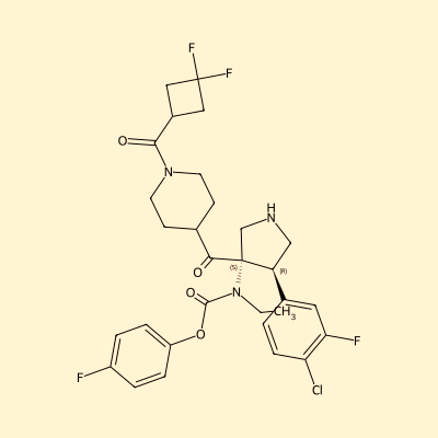 CCN(C(=O)Oc1ccc(F)cc1)[C@]1(C(=O)C2CCN(C(=O)C3CC(F)(F)C3)CC2)CNC[C@H]1c1ccc(Cl)c(F)c1